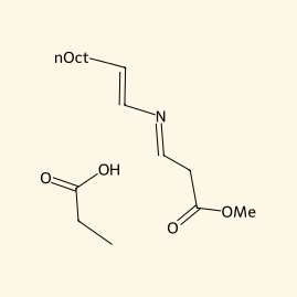 CCC(=O)O.CCCCCCCCC=CN=CCC(=O)OC